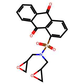 O=C1c2ccccc2C(=O)c2c1cccc2S(=O)(=O)N(CC1CO1)CC1CO1